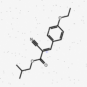 CCOc1ccc(/C=C(\C#N)C(=O)OCC(C)C)cc1